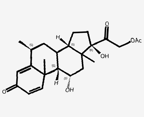 CC(=O)OCC(=O)[C@@]1(O)CC[C@H]2C3C[C@H](C)C4=CC(=O)C=CC4(C)[C@H]3[C@@H](O)CC21C